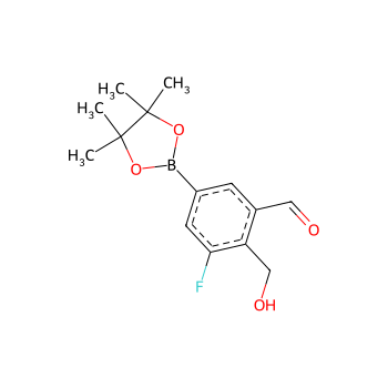 CC1(C)OB(c2cc(F)c(CO)c(C=O)c2)OC1(C)C